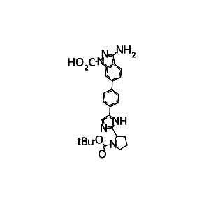 CC(C)(C)OC(=O)N1CCCC1c1ncc(-c2ccc(-c3ccc4c(N)nn(C(=O)O)c4c3)cc2)[nH]1